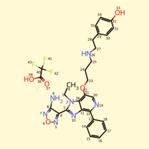 CCn1c(-c2nonc2N)nc2c(-c3ccccc3)ncc(OCCCNCCc3ccc(O)cc3)c21.O=C(O)C(F)(F)F